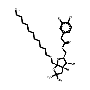 CCCCCCCCCCCCOC[C@@]12O[C@@H](CNC(=O)Cc3ccc(O)c(F)c3)[C@@H](O)[C@@H]1OC(C)(C)O2